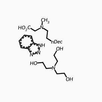 CCCCCCCCCCCCN(C)CC(=O)O.OCCN(CCO)CCO.c1ccc2[nH]nnc2c1